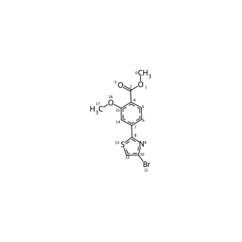 COC(=O)c1ccc(-c2nc(Br)cs2)cc1OC